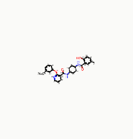 CSc1cccc(Oc2ncccc2C(=O)NC2CCC(NC(=O)c3cc(C)ccc3O)CC2)c1